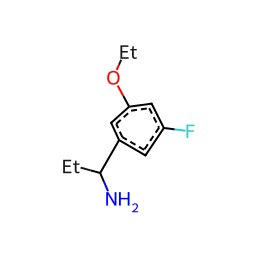 CCOc1cc(F)cc(C(N)CC)c1